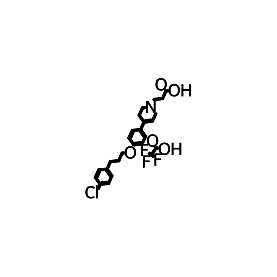 O=C(O)C(F)(F)F.O=C(O)CCN1CC=C(c2ccc(OCCCc3ccc(Cl)cc3)cc2)CC1